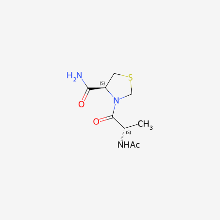 CC(=O)N[C@@H](C)C(=O)N1CSC[C@@H]1C(N)=O